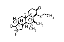 C=C1C2=C(SCC)C(=O)CC[C@]2(C)[C@H]2CC[C@]3(C)C(=O)[C@H](F)C[C@H]3[C@@H]2[C@@H]1C